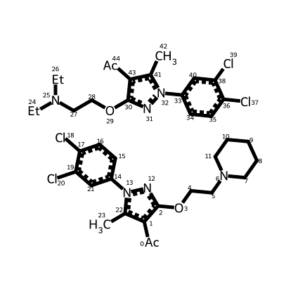 CC(=O)c1c(OCCN2CCCCC2)nn(-c2ccc(Cl)c(Cl)c2)c1C.CCN(CC)CCOc1nn(-c2ccc(Cl)c(Cl)c2)c(C)c1C(C)=O